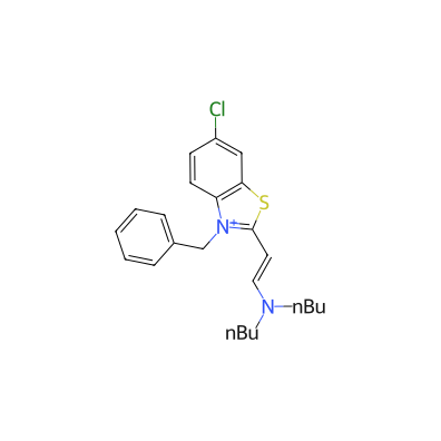 CCCCN(C=Cc1sc2cc(Cl)ccc2[n+]1Cc1ccccc1)CCCC